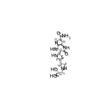 N=C1/C(=C2\NC=C(c3cnn(CC(O)CO)c3)S2)C(=O)Nc2cc(C(N)=O)cnc21